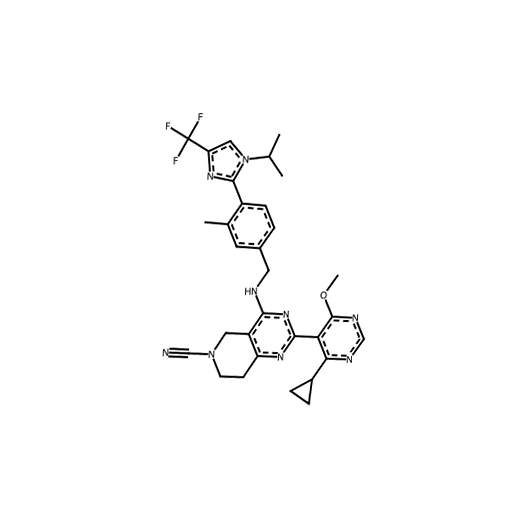 COc1ncnc(C2CC2)c1-c1nc2c(c(NCc3ccc(-c4nc(C(F)(F)F)cn4C(C)C)c(C)c3)n1)CN(C#N)CC2